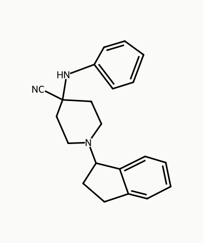 N#CC1(Nc2ccccc2)CCN(C2CCc3ccccc32)CC1